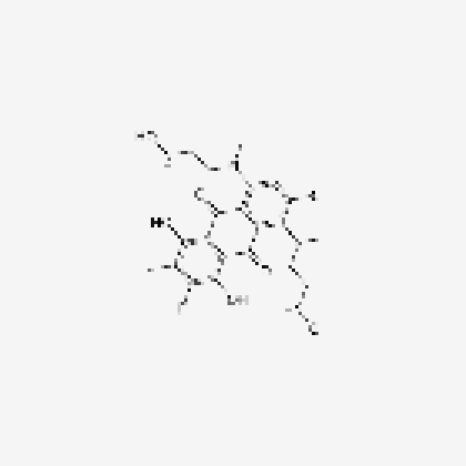 CN(CCNO)c1cc(Cl)c(N(C)CCNO)c2c1C(=O)c1c(O)c(F)c(F)c(O)c1C2=O